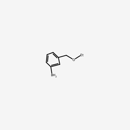 Bc1cccc(COCC)c1